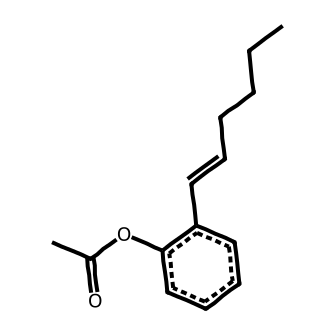 CCCCC=Cc1ccccc1OC(C)=O